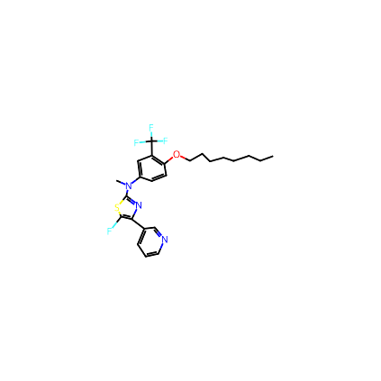 CCCCCCCCOc1ccc(N(C)c2nc(-c3cccnc3)c(F)s2)cc1C(F)(F)F